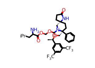 CC(C)CC(N)C(=O)OCOC(=O)N1C[C@@]2(CCC(=O)N2)CC[C@@]1(CO[C@H](C)c1cc(C(F)(F)F)cc(C(F)(F)F)c1)c1ccccc1